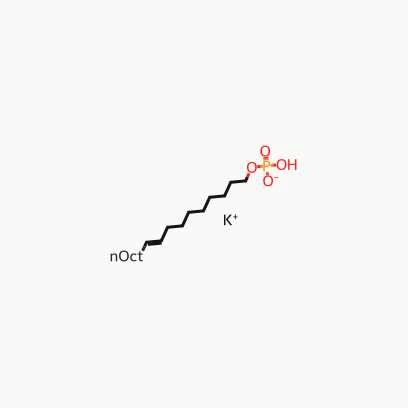 CCCCCCCCC=CCCCCCCCCOP(=O)([O-])O.[K+]